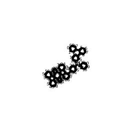 c1ccc(-c2ccccc2-c2cccc(N(c3ccccc3)c3ccc(-c4cccc5c4-c4ccccc4C54c5ccccc5C5(c6ccccc6-c6ccccc65)c5ccccc54)cc3)c2)cc1